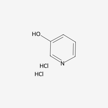 Cl.Cl.Oc1cccnc1